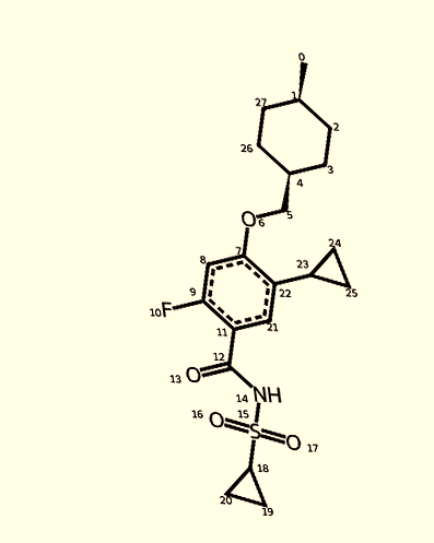 C[C@H]1CC[C@@H](COc2cc(F)c(C(=O)NS(=O)(=O)C3CC3)cc2C2CC2)CC1